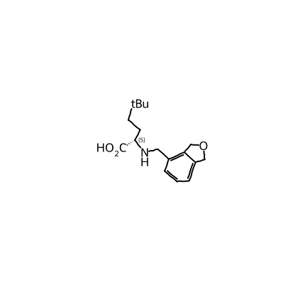 CC(C)(C)CC[C@H](NCc1cccc2c1COC2)C(=O)O